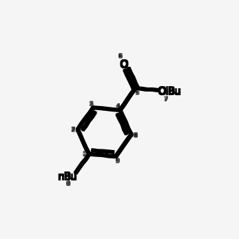 CCCCc1ccc(C(=O)OCC(C)C)cc1